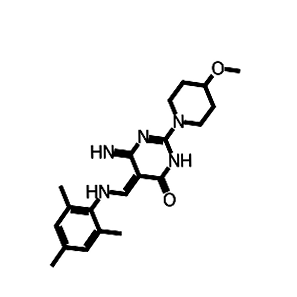 COC1CCN(C2=NC(=N)/C(=C\Nc3c(C)cc(C)cc3C)C(=O)N2)CC1